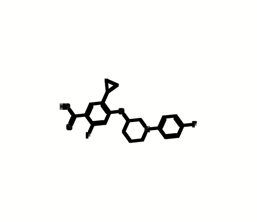 O=C(O)c1cc(C2CC2)c(OC2CCCN(c3ccc(F)cc3)C2)cc1F